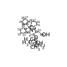 CC(C)(C)[Si](C)(C)OC1CCN(C(c2ccccc2)(c2ccccc2)c2ccccc2)C/C1=C/CO